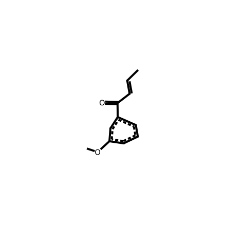 C/C=C/C(=O)c1cccc(OC)c1